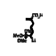 C=C(CCCC(CC)[Si](OC)(OC)OC)C(=O)O